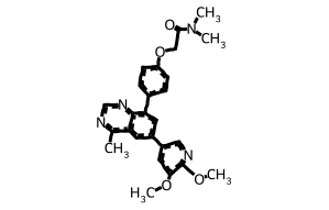 COc1cc(-c2cc(-c3ccc(OCC(=O)N(C)C)cc3)c3ncnc(C)c3c2)cnc1OC